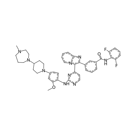 COc1cc(N2CCC(N3CCCN(C)CC3)CC2)ccc1Nc1nccc(-c2c(-c3cccc(C(=O)Nc4c(F)cccc4F)c3)nc3ccccn23)n1